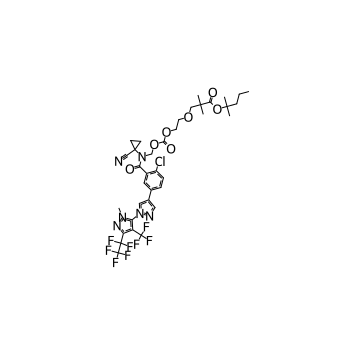 CCCC(C)(C)OC(=O)C(C)(C)COCCOC(=O)OCN(C(=O)c1cc(-c2cnn(-c3c(C(F)(F)F)c(C(F)(F)C(F)(F)F)nn3C)c2)ccc1Cl)C1(C#N)CC1